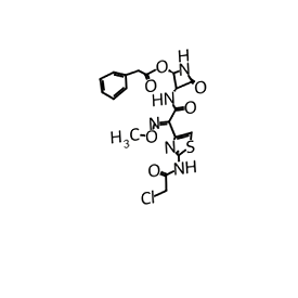 CON=C(C(=O)N[C@@H]1C(=O)N[C@@H]1OC(=O)Cc1ccccc1)c1csc(NC(=O)CCl)n1